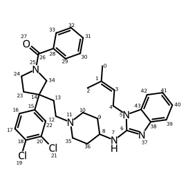 CC(C)=CCn1c(NC2CCN(CCC3(c4ccc(Cl)c(Cl)c4)CCN(C(=O)c4ccccc4)C3)CC2)nc2ccccc21